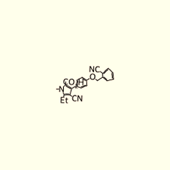 CCc1c(C#N)c(-c2ccc(OCc3ccccc3C#N)cc2)c(C(=O)O)n1C